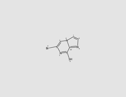 Sc1nc(Br)cn2ccnc12